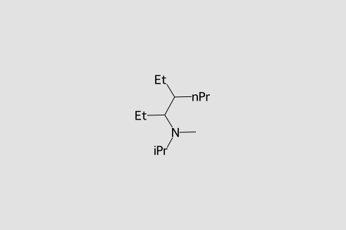 CCCC(CC)C(CC)N(C)C(C)C